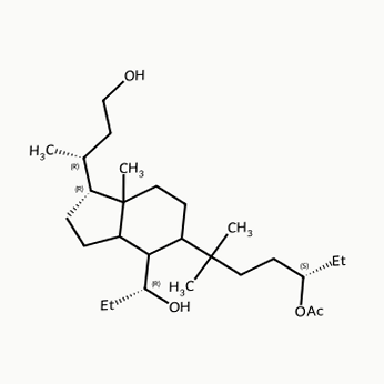 CC[C@@H](CCC(C)(C)C1CCC2(C)C(CC[C@@H]2[C@H](C)CCO)C1[C@H](O)CC)OC(C)=O